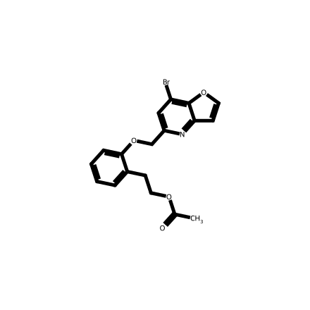 CC(=O)OCCc1ccccc1OCc1cc(Br)c2occc2n1